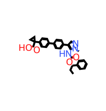 CCC(OC(=O)Nc1c(-c2ccc(-c3ccc(C4(C(=O)O)CC4)cc3)cc2)cnn1C)c1ccccc1